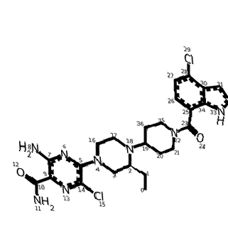 CC[C@H]1CN(c2nc(N)c(C(N)=O)nc2Cl)CCN1C1CCN(C(=O)c2ccc(Cl)c3cc[nH]c23)CC1